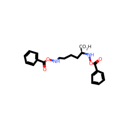 O=C(ONCCCC[C@H](NOC(=O)c1ccccc1)C(=O)O)c1ccccc1